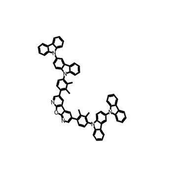 Cc1c(-c2cnc3oc4ncc(-c5ccc(-n6c7ccccc7c7cc(-n8c9ccccc9c9ccccc98)ccc76)c(C)c5C)cc4c3c2)ccc(-n2c3ccccc3c3cc(-n4c5ccccc5c5ccccc54)ccc32)c1C